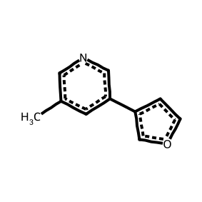 Cc1cncc(-c2ccoc2)c1